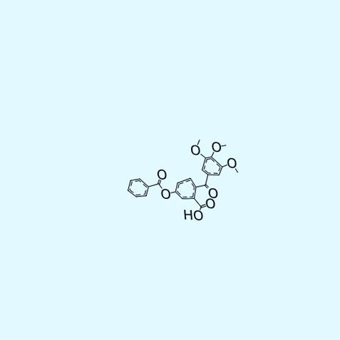 COc1cc(C(=O)c2ccc(OC(=O)c3ccccc3)cc2C(=O)O)cc(OC)c1OC